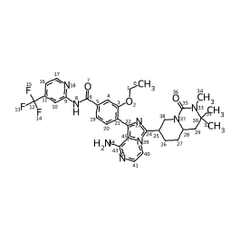 CCOc1cc(C(=O)Nc2cc(C(F)(F)F)ccn2)ccc1-c1nc(C2CCC3CC(C)(C)N(C)C(=O)N3C2)n2ccnc(N)c12